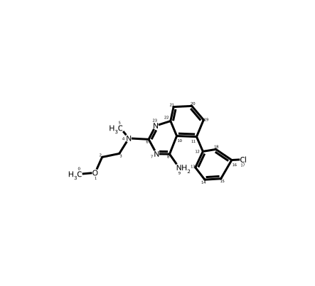 COCCN(C)c1nc(N)c2c(-c3cccc(Cl)c3)cccc2n1